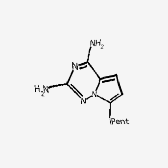 CCCC(C)c1ccc2c(N)nc(N)nn12